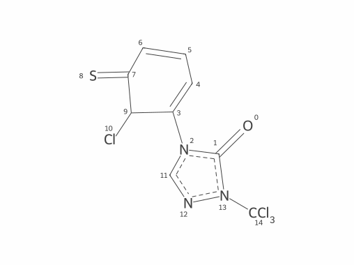 O=c1n(C2=CC=CC(=S)C2Cl)cnn1C(Cl)(Cl)Cl